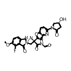 COc1ccc2c(c1F)C(=O)N(C[C@@](N)(C(=O)NC=O)c1cc3nc(N4C[C@H](O)CC4=O)ccc3o1)C2